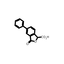 O=C1OC(C(=O)O)c2ccc(-c3ccccc3)cc21